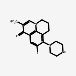 O=C(O)c1cn2c3c(c(N4CCNCC4)c(F)cc3c1=O)CCC2